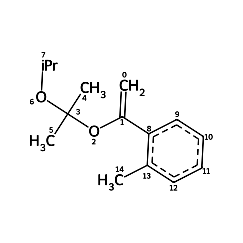 C=C(OC(C)(C)OC(C)C)c1ccccc1C